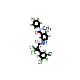 CN(C(=O)c1cc(NC(=O)C2C(c3cc(Cl)c(F)c(Cl)c3)C2(Cl)Cl)ccc1Cl)c1ccc(F)cc1